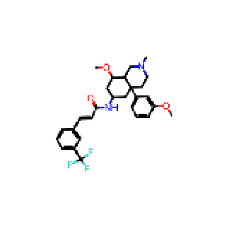 COc1cccc(C23CCN(C)CC2C(OC)CC(NC(=O)/C=C/c2cccc(C(F)(F)F)c2)C3)c1